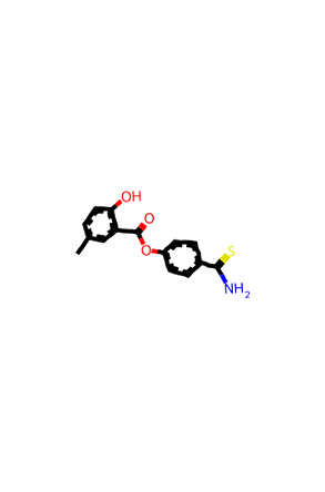 Cc1ccc(O)c(C(=O)Oc2ccc(C(N)=S)cc2)c1